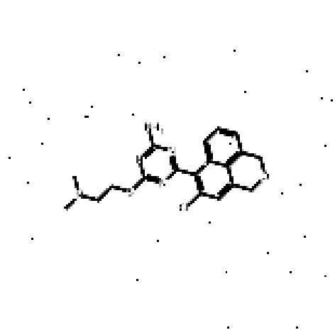 CN(C)CCSc1nc(N)nc(-c2c(Cl)cc3c4c(cccc24)COC3)n1